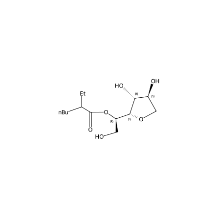 CCCCC(CC)C(=O)O[C@H](CO)[C@H]1OC[C@H](O)[C@H]1O